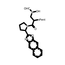 CCCCCC(CN(O)C=O)C(=O)N1CCCC1c1nc2cc3ccccc3cc2o1